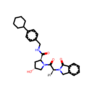 CC(C)[C@@H](C(=O)N1C[C@H](O)C[C@H]1C(=O)NCc1ccc(C2CCCCC2)cc1)N1Cc2ccccc2C1=O